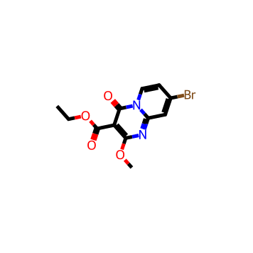 CCOC(=O)c1c(OC)nc2cc(Br)ccn2c1=O